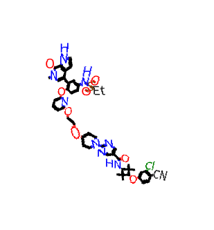 CCS(=O)(=O)Nc1ccc(Oc2cccc(OCCOC3CCN(c4ncc(C(=O)N[C@H]5C(C)(C)[C@H](Oc6ccc(C#N)c(Cl)c6)C5(C)C)cn4)CC3)n2)c(-c2cn(C)c(=O)c3[nH]ccc23)c1